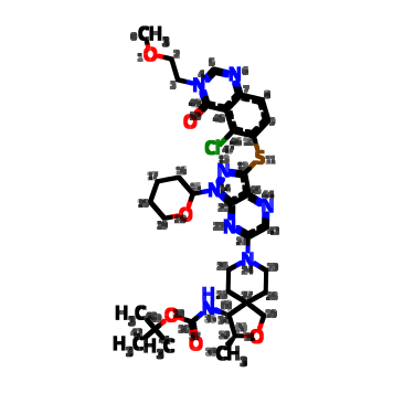 COCCn1cnc2ccc(Sc3nn(C4CCCCO4)c4nc(N5CCC6(CC5)CO[C@@H](C)[C@H]6NC(=O)OC(C)(C)C)cnc34)c(Cl)c2c1=O